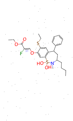 CCCCC1CC(c2ccccc2)c2cc(SCC)c(O/C=C(\F)C(=O)OCC)cc2S(O)(O)N1C